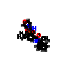 CC(NC(=O)C1=CC(C)(S(=O)(=O)NN2CCOCC2)C(C)C=C1)C12CC3CC(CC(C3)C1)C2